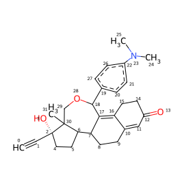 C#C[C@]1(O)CCC2C3CCC4=CC(=O)CCC4=C3C(c3ccc(N(C)C)cc3)OCC21C